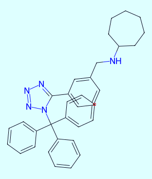 c1ccc(C(c2ccccc2)(c2ccccc2)n2nnnc2-c2cccc(CNC3CCCCCC3)c2)cc1